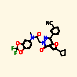 CN(C(=O)Cn1nc(-c2cccc(C#N)c2)c2oc(C3CCC3)cc2c1=O)c1ccc2c(c1)OC(F)(F)O2